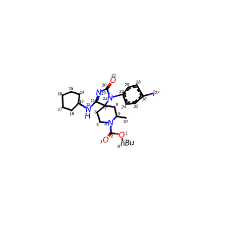 CCCCOC(=O)N1CCC2(CC1C)C(NC1CCCCC1)=NC(=O)N2c1ccc(I)cc1